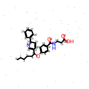 CCCCCC(Oc1ccc(C(=O)NCCC(=O)O)cc1)c1ccc(-c2ccccc2)nc1